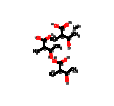 CC(=O)C(C)C(=O)[O-].CC(=O)C(C)C(=O)[O-].CC(=O)C(C)C(=O)[O-].[La+3]